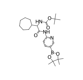 CC(C)(C)OC(=O)NC(C(=O)Nc1ccc(B2OC(C)(C)C(C)(C)O2)cn1)C1CCCCCC1